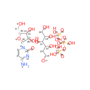 Nc1ccn([C@@H]2O[C@H](CO)[C@@H](O)[C@H]2O)c(=O)n1.O=CCC(O)C(O)C(O)CO.O=P(O)(O)OP(=O)(O)OP(=O)(O)O